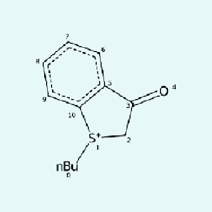 CCCC[S+]1CC(=O)c2ccccc21